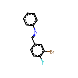 Fc1ccc(C=Nc2ccccc2)cc1Br